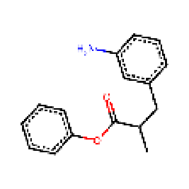 CC(Cc1cccc(N)c1)C(=O)Oc1ccccc1